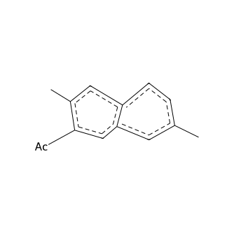 CC(=O)c1cc2cc(C)ccc2cc1C